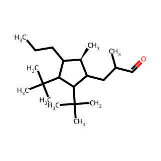 CCCC1C(C(C)(C)C)C(C(C)(C)C)C(CC(C)C=O)[C@@H]1C